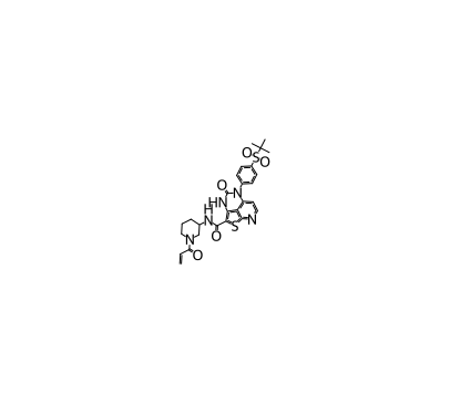 C=CC(=O)N1CCCC(NC(=O)c2sc3nccc4c3c2NC(=O)N4c2ccc(S(=O)(=O)C(C)(C)C)cc2)C1